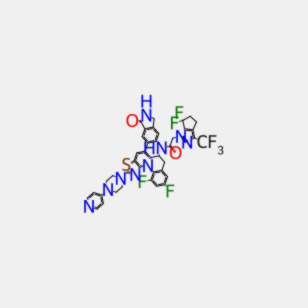 O=C(Cn1nc(C(F)(F)F)c2c1C(F)(F)CC2)NC(Cc1cc(F)cc(F)c1)c1nc2nc(N3CCN(c4ccncc4)CC3)sc2cc1-c1ccc2c(c1)C(=O)NC2